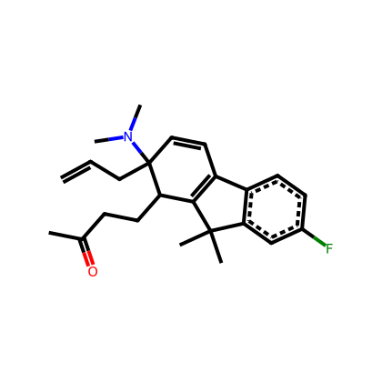 C=CCC1(N(C)C)C=CC2=C(C1CCC(C)=O)C(C)(C)c1cc(F)ccc12